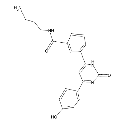 NCCCNC(=O)c1cccc(-c2cc(-c3ccc(O)cc3)nc(=O)[nH]2)c1